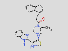 CC1CN(c2scnc2-c2nc3ccccc3[nH]2)CCN1C(=O)Cc1cccc2ccccc12